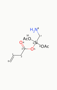 C=CCC(=O)O[Si](CN)(OC(C)=O)OC(C)=O